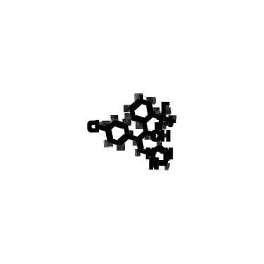 OC(C(=Cn1cncn1)c1ccc(Cl)cc1)c1ccccc1C(F)(F)F